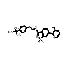 CC(C)(C)c1ccc(CCNC2=NS(=O)(=O)c3cc(-c4ncccc4Cl)ccc32)cc1